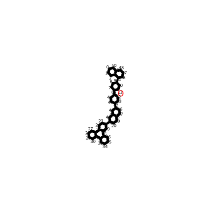 c1ccc2c(-c3ccc4c(c3)oc3cc(-c5ccc6ccc(-c7ccc8c9ccccc9c9ccccc9c8c7)cc6c5)ccc34)cccc2c1